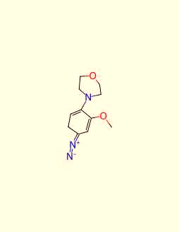 COC1=CC(=[N+]=[N-])CC=C1N1CCOCC1